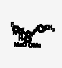 COc1cc2c(-c3cc4cc(F)cnc4[nH]3)cn(CCN3CCN(C)CC3)c2cc1OC